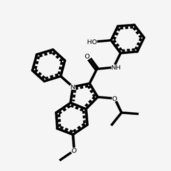 COc1ccc2c(c1)c(OC(C)C)c(C(=O)Nc1ccccc1O)n2-c1ccccc1